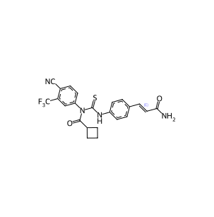 N#Cc1ccc(N(C(=O)C2CCC2)C(=S)Nc2ccc(/C=C/C(N)=O)cc2)cc1C(F)(F)F